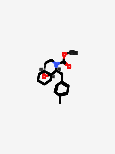 Cc1ccc(C[C@@H]2N(C(=O)OC(C)(C)C)CC[C@]34CCCC[C@]23O4)cc1